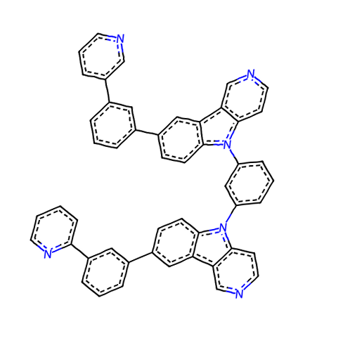 c1ccc(-c2cccc(-c3ccc4c(c3)c3cnccc3n4-c3cccc(-n4c5ccncc5c5cc(-c6cccc(-c7cccnc7)c6)ccc54)c3)c2)nc1